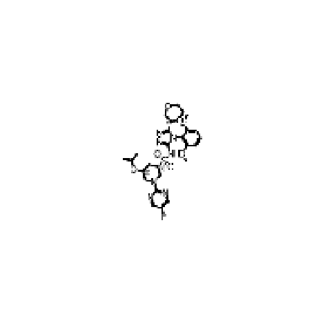 COc1cccc(OC)c1-n1c(NS(=O)(=O)[C@@H]2C[C@H](OC(C)C)CN(c3ncc(F)cn3)C2)nnc1[C@H]1COCCO1